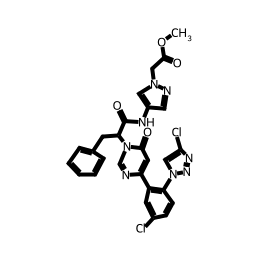 COC(=O)Cn1cc(NC(=O)C(Cc2ccccc2)n2cnc(-c3cc(Cl)ccc3-n3cc(Cl)nn3)cc2=O)cn1